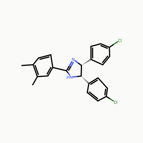 Cc1ccc(C2=N[C@H](c3ccc(Cl)cc3)[C@H](c3ccc(Cl)cc3)N2)cc1C